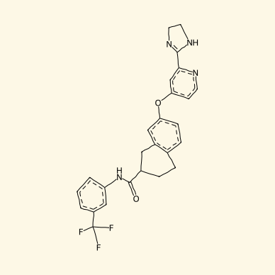 O=C(Nc1cccc(C(F)(F)F)c1)C1CCc2ccc(Oc3ccnc(C4=NCCN4)c3)cc2C1